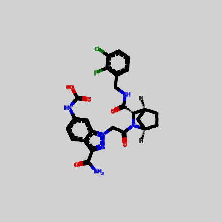 NC(=O)c1nn(CC(=O)N2[C@@H]3CC[C@@H](C3)[C@H]2C(=O)NCc2cccc(Cl)c2F)c2cc(NC(=O)O)ccc12